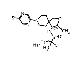 C[C@@H]1OCC2(CCN(c3cnc([S-])cn3)CC2)[C@@H]1N[S+]([O-])C(C)(C)C.[Na+]